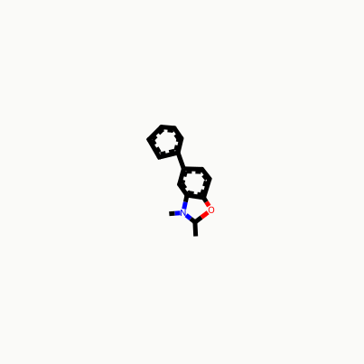 CC1Oc2ccc(-c3ccccc3)cc2N1C